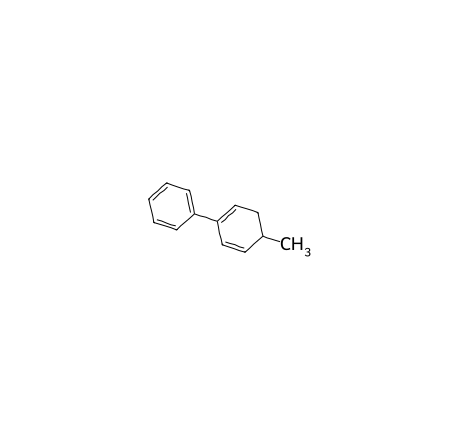 CC1C=CC(c2ccccc2)=CC1